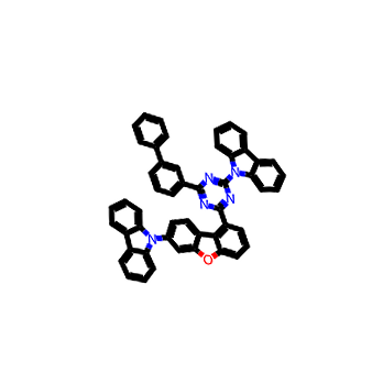 c1ccc(-c2cccc(-c3nc(-c4cccc5oc6cc(-n7c8ccccc8c8ccccc87)ccc6c45)nc(-n4c5ccccc5c5ccccc54)n3)c2)cc1